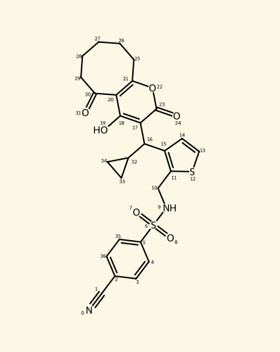 N#Cc1ccc(S(=O)(=O)NCc2sccc2C(c2c(O)c3c(oc2=O)CCCCCC3=O)C2CC2)cc1